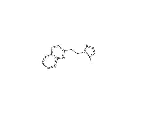 Cn1ccnc1CCc1ccc2cccnc2n1